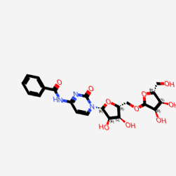 O=C(Nc1ccn([C@@H]2O[C@H](COC3O[C@H](CO)[C@@H](O)[C@H]3O)[C@@H](O)[C@H]2O)c(=O)n1)c1ccccc1